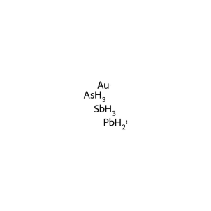 [AsH3].[Au].[PbH2].[SbH3]